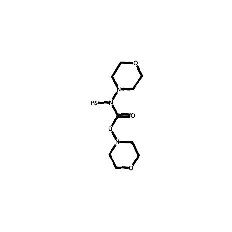 O=C(ON1CCOCC1)N(S)N1CCOCC1